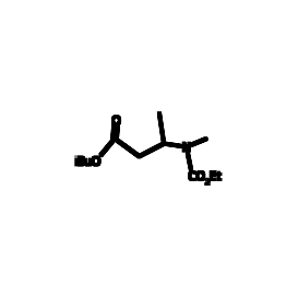 CCOC(=O)N(C)C(C)CC(=O)OCC(C)C